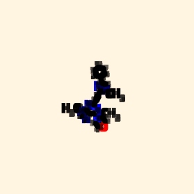 C[C@H]1COCCN1c1nc(C#Cc2nc(-c3ccccc3)cn2C)nc2c1ncn2C